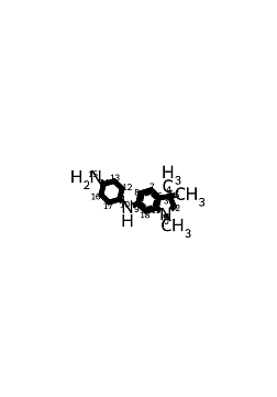 CN1CC(C)(C)c2ccc(NC3CCC(N)CC3)cc21